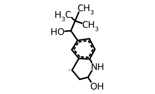 CC(C)(C)C(O)c1ccc2c(c1)[CH]CC(O)N2